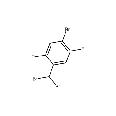 Fc1cc(C(Br)Br)c(F)cc1Br